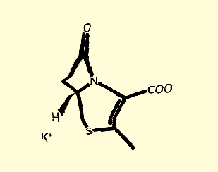 CC1=C(C(=O)[O-])N2C(=O)C[C@H]2S1.[K+]